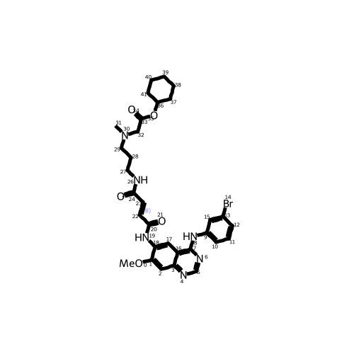 COc1cc2ncnc(Nc3cccc(Br)c3)c2cc1NC(=O)/C=C/C(=O)NCCCN(C)CC(=O)OC1CCCCC1